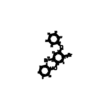 Brc1cc(Oc2ccccc2)c(Br)cc1Oc1ccccc1